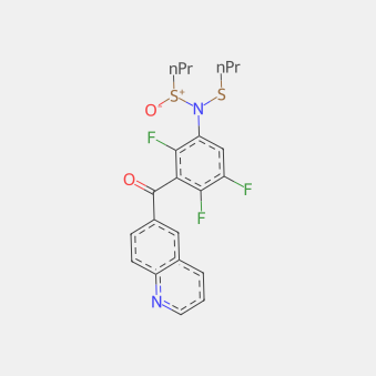 CCCSN(c1cc(F)c(F)c(C(=O)c2ccc3ncccc3c2)c1F)[S+]([O-])CCC